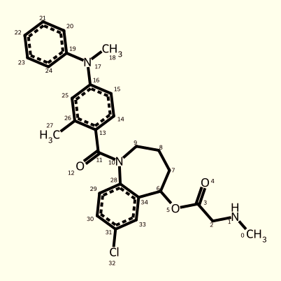 CNCC(=O)OC1CCCN(C(=O)c2ccc(N(C)c3ccccc3)cc2C)c2ccc(Cl)cc21